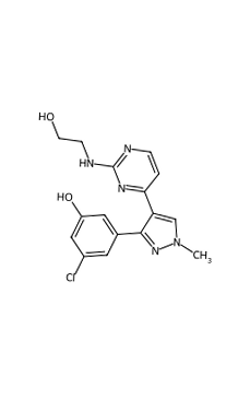 Cn1cc(-c2ccnc(NCCO)n2)c(-c2cc(O)cc(Cl)c2)n1